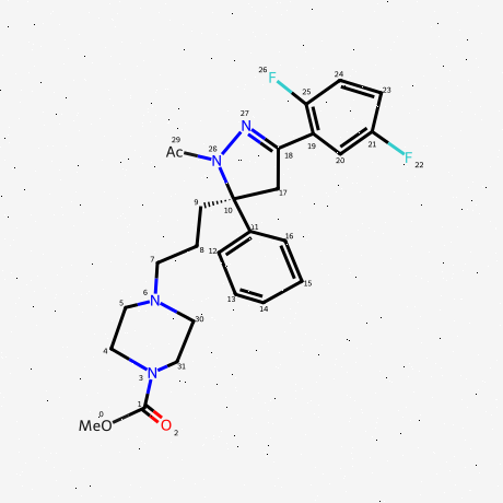 COC(=O)N1CCN(CCC[C@@]2(c3ccccc3)CC(c3cc(F)ccc3F)=NN2C(C)=O)CC1